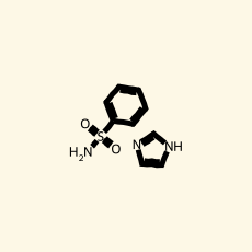 NS(=O)(=O)c1ccccc1.c1c[nH]cn1